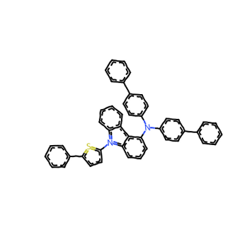 c1ccc(-c2ccc(N(c3ccc(-c4ccccc4)cc3)c3cccc4c3c3ccccc3n4-c3ccc(-c4ccccc4)s3)cc2)cc1